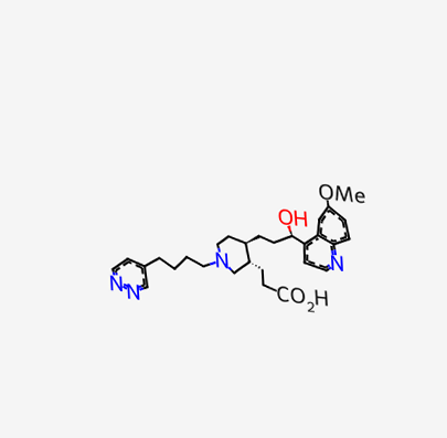 COc1ccc2nccc([C@H](O)CC[C@@H]3CCN(CCCCc4ccnnc4)C[C@H]3CCC(=O)O)c2c1